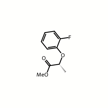 COC(=O)[C@@H](C)Oc1ccccc1F